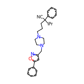 CC(C)C(C#N)(CCCN1CCN(Cc2cc(-c3ccccc3)on2)CC1)c1ccccc1